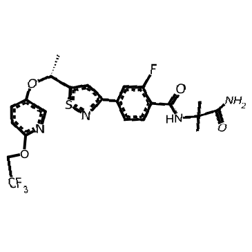 C[C@@H](Oc1ccc(OCC(F)(F)F)nc1)c1cc(-c2ccc(C(=O)NC(C)(C)C(N)=O)c(F)c2)ns1